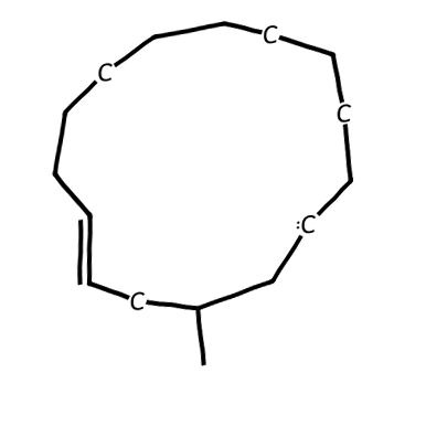 CC1C[C]CCCCCCCCC/C=C/C1